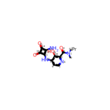 CC(C)N(C)C(=O)c1nccc(Nc2c(N)c(=O)c2=O)c1O